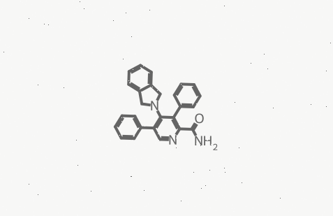 NC(=O)c1ncc(-c2ccccc2)c(N2Cc3ccccc3C2)c1-c1ccccc1